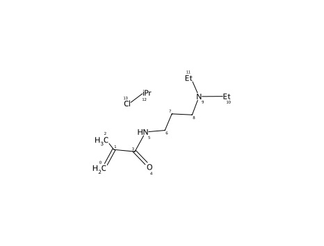 C=C(C)C(=O)NCCCN(CC)CC.CC(C)Cl